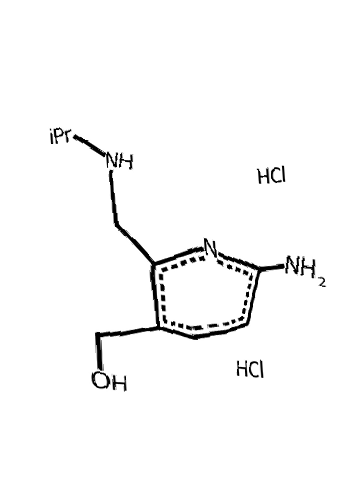 CC(C)NCc1nc(N)ccc1CO.Cl.Cl